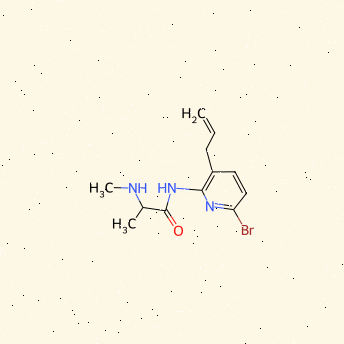 C=CCc1ccc(Br)nc1NC(=O)C(C)NC